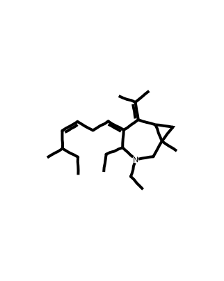 CCC(C)/C=C\C/C=C1/C(=C(C)C)C2CC2(C)CN(CC)C1CC